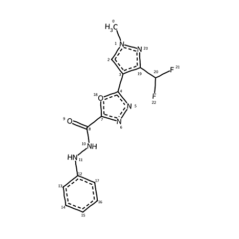 Cn1cc(-c2nnc(C(=O)NNc3ccccc3)o2)c(C(F)F)n1